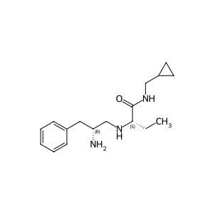 CC[C@H](NC[C@H](N)Cc1ccccc1)C(=O)NCC1CC1